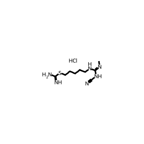 C/N=C(/NC#N)NCCCCCSC(=N)N.Cl